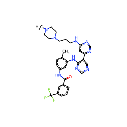 Cc1ccc(NC(=O)c2cccc(C(F)(F)F)c2)cc1Nc1ncncc1-c1cc(NCCCN2CCN(C)CC2)ncn1